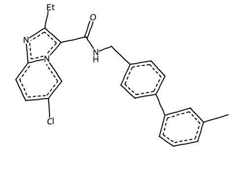 CCc1nc2ccc(Cl)cn2c1C(=O)NCc1ccc(-c2cccc(C)c2)cc1